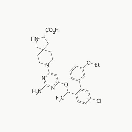 CCOc1cccc(-c2cc(Cl)ccc2C(Oc2cc(N3CCC4(CC3)CN[C@H](C(=O)O)C4)nc(N)n2)C(F)(F)F)c1